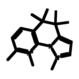 Cc1ccc2c([n+]1C)-n1c(cc[n+]1C)C(C)(C)C2(C)C